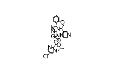 CC(C)O[C@@H](c1ncc(Cl)cn1)[C@H](C)S(=O)(=O)Nc1nnc2n1[C@H](c1cccnc1)COc1ccccc1-2